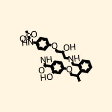 CC(COc1ccc(C(N)=O)c(O)c1)c1ccccc1CNCC(O)COc1ccc(NS(C)(=O)=O)cc1